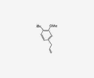 C=CCc1ccc(C(C)CC)c(OC)c1